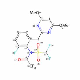 COc1cc(OC)nc(Cc2cccc(F)c2N(C(=O)C(F)(F)F)S(=O)(=O)C(F)F)n1